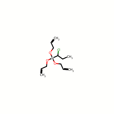 C=CCO[Si](OCC=C)(OCC=C)C(Cl)CC